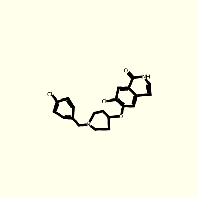 O=c1[nH]ccc2cc(OC3CCN(Cc4ccc(Cl)cc4)CC3)c(Cl)cc12